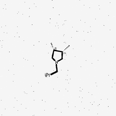 CC(C)CN1C[C@@H](C)[C@@H](C)C1